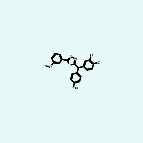 CCOc1cccc(-c2nnc(C(c3ccc(C(C)(C)C)cc3)c3ccc(Cl)c(Cl)c3)s2)c1